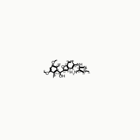 COc1cc(OC)c(F)c(C(O)c2cc3cc(Nc4nn(C)cc4N)ncc3o2)c1F